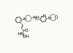 O=C(/C=C/c1ccccc1N1CCC(NCc2ccc(N3CCOCC3)nc2)CC1)NO